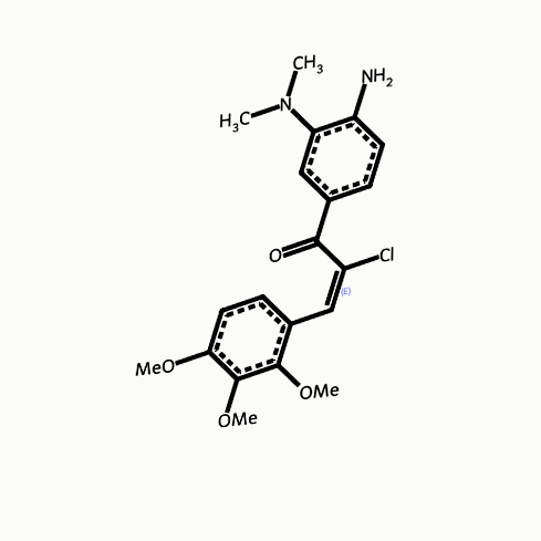 COc1ccc(/C=C(/Cl)C(=O)c2ccc(N)c(N(C)C)c2)c(OC)c1OC